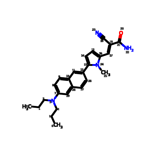 CCCN(CCC)c1ccc2cc(-c3ccc(/C=C(\C#N)C(N)=O)n3C)ccc2c1